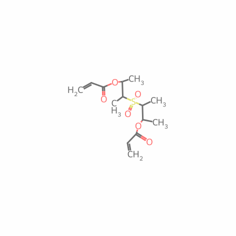 C=CC(=O)OC(C)C(C)S(=O)(=O)C(C)C(C)OC(=O)C=C